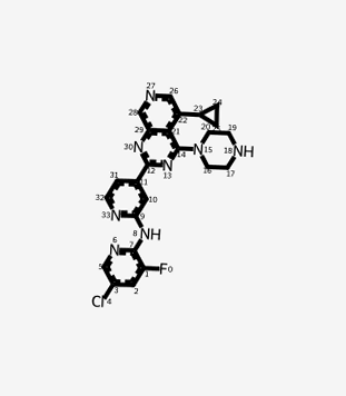 Fc1cc(Cl)cnc1Nc1cc(-c2nc(N3CCNCC3)c3c(C4CC4)cncc3n2)ccn1